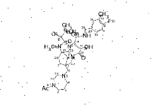 CC(=O)N1CCCN(CC23CCC(N(C)C(=O)C(=O)N(C)C)(CC2)c2nc(C(=O)NCc4ccc(F)c(C)c4)c(O)c(=O)n2C3)CC1